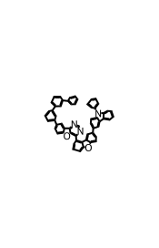 c1ccc(-c2cccc(-c3cccc(-c4ccc5oc6c(-c7cccc8oc9ccc(-c%10ccc%11c(c%10)c%10ccccc%10n%11-c%10ccccc%10)cc9c78)ncnc6c5c4)c3)c2)cc1